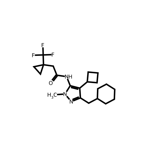 Cn1nc(CC2CCCCC2)c(C2CCC2)c1NC(=O)CC1(C(F)(F)F)CC1